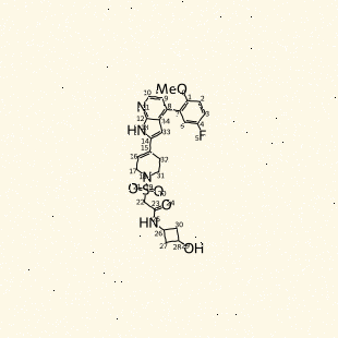 COc1ccc(F)cc1-c1ccnc2[nH]c(C3=CCN(S(=O)(=O)CC(=O)NC4CC(O)C4)CC3)cc12